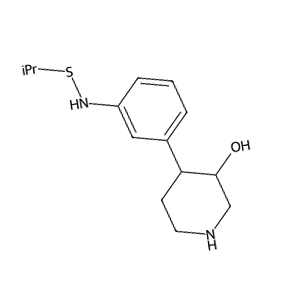 CC(C)SNc1cccc(C2CCNCC2O)c1